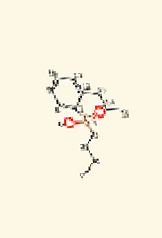 CCCCS(=O)(=O)c1ccccc1CCC